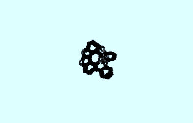 C=Cc1c2ccc3sc4oc5ccc6c7ccccc7op(c6c5c4c13)[n+]1ccccc1o2